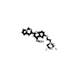 C[C@@H]1CN(CCOc2ccc3oc(-c4cc5cccn5cn4)c/c(=N/O)c3c2)C[C@H](C)O1